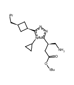 CC(C)C[C@H]1C[C@@H](c2nnc([C@@H](CN)CC(=O)OC(C)(C)C)n2C2CC2)C1